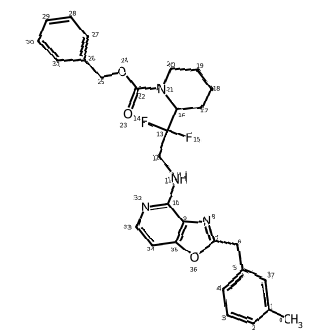 Cc1cccc(Cc2nc3c(NCC(F)(F)C4CCCCN4C(=O)OCc4ccccc4)nccc3o2)c1